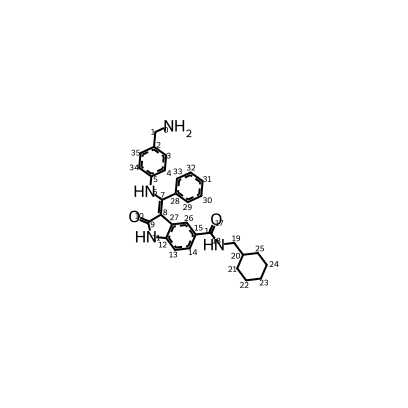 NCc1ccc(N/C(=C2\C(=O)Nc3ccc(C(=O)NCC4CCCCC4)cc32)c2ccccc2)cc1